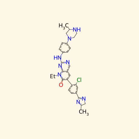 CCn1c(=O)c(-c2ccc(C3=NCC(C)=N3)cc2Cl)cc2cnc(Nc3ccc(N4CCNC(C)C4)cc3)nc21